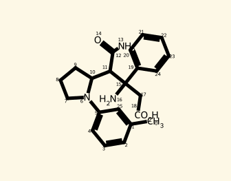 Cc1cccc(N2CCCC2C(C(N)=O)C(N)(CC(=O)O)c2ccccc2)c1